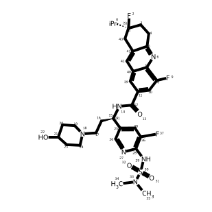 CC(C)[C@]1(F)CCc2nc3c(F)cc(C(=O)N[C@H](CCN4CCC(O)CC4)c4cnc(NS(=O)(=O)N(C)C)c(F)c4)cc3cc2C1